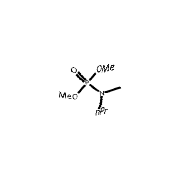 CCCN(C)P(=O)(OC)OC